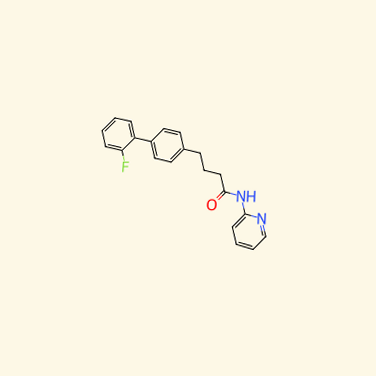 O=C(CCCc1ccc(-c2ccccc2F)cc1)Nc1ccccn1